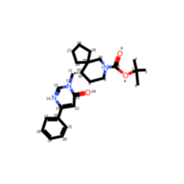 CC(C)(C)OC(=O)N1CC[C@H](Cn2cnc(-c3ccccc3)cc2=O)C2(CCCC2)C1